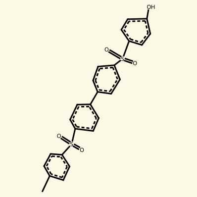 Cc1ccc(S(=O)(=O)c2ccc(-c3ccc(S(=O)(=O)c4ccc(O)cc4)cc3)cc2)cc1